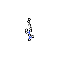 c1ccc(-n2c3ccccc3c3cc(N(c4ccc5ccc(-c6ccc(-c7ccc8ccccc8c7)cc6)cc5c4)c4cccc5ccccc45)ccc32)cc1